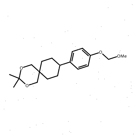 COCOc1ccc(C2CCC3(CC2)COC(C)(C)OC3)cc1